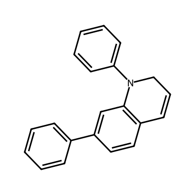 C1=Cc2ccc(-c3ccccc3)cc2N(c2ccccc2)C1